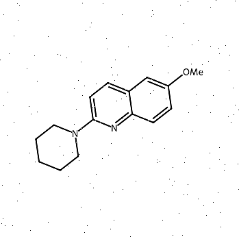 COc1ccc2nc(N3CCCCC3)ccc2c1